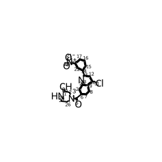 C[C@@H]1CN(C(=O)c2ccc3c(Cl)cc(-c4cccc([N+](=O)[O-])c4)nc3c2)CCN1